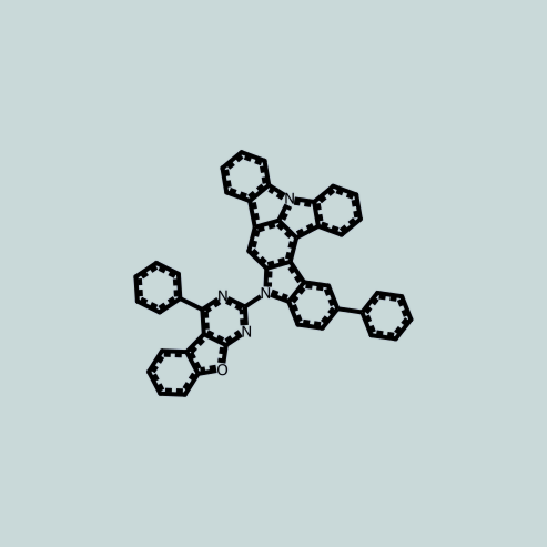 c1ccc(-c2ccc3c(c2)c2c4c5ccccc5n5c6ccccc6c(cc2n3-c2nc(-c3ccccc3)c3c(n2)oc2ccccc23)c45)cc1